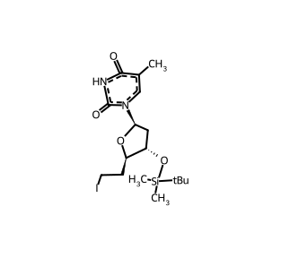 Cc1cn([C@H]2C[C@H](O[Si](C)(C)C(C)(C)C)[C@@H](CCI)O2)c(=O)[nH]c1=O